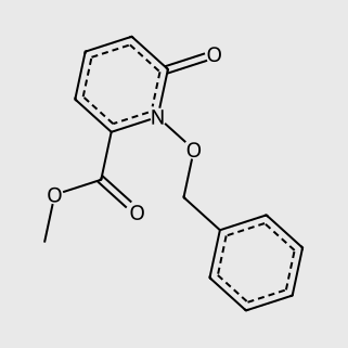 COC(=O)c1cccc(=O)n1OCc1ccccc1